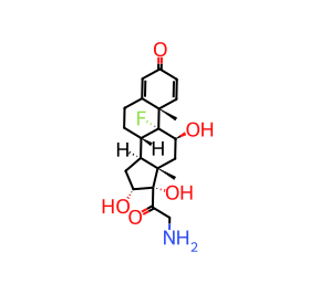 C[C@]12C=CC(=O)C=C1CC[C@H]1[C@@H]3C[C@@H](O)[C@](O)(C(=O)CN)[C@@]3(C)C[C@H](O)[C@@]12F